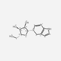 OC[C@H]1O[C@@H](N2C=Nc3[nH]ccc3C2)[C@H](O)[C@@H]1O